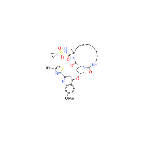 COc1ccc2c(OC3CC4C(=O)NC5(C(=O)NS(=O)(=O)C6CC6)CC5/C=C\CCCCCNC(=O)N4C3)cc(-c3nc(C(C)C)cs3)nc2c1